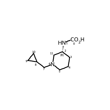 O=C(O)N[C@@H]1CCCN(CC2CC2)C1